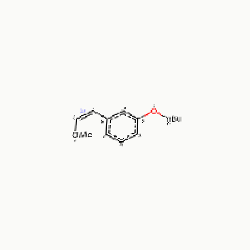 CCCCOc1cccc(/C=C\OC)c1